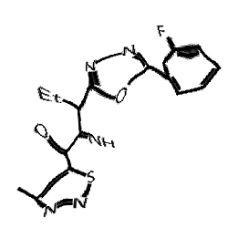 CCC(C(=N)C(=O)c1snnc1C)c1nnc(-c2ccccc2F)o1